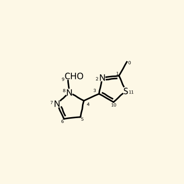 Cc1nc(C2CC=NN2C=O)cs1